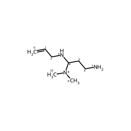 C=CCNC(CCN)N(C)C